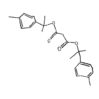 Cc1ccc(C(C)(C)OC(=O)CC(=O)OC(C)(C)c2ccc(C)cc2)cc1